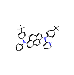 CC(C)(C)c1ccc(N(c2ccccc2)c2ccc3ccc4c(N(c5ccc(C(C)(C)C)cc5)c5ccccn5)ccc5ccc2c3c54)cc1